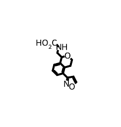 O=C(O)NCC1OCCc2c(-c3ccon3)cccc21